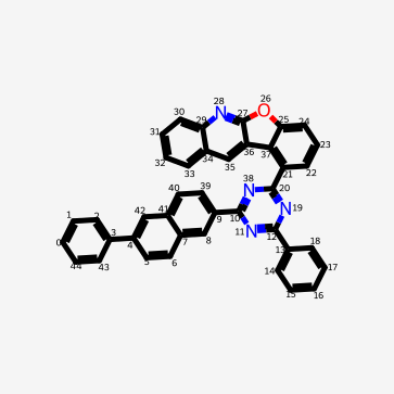 c1ccc(-c2ccc3cc(-c4nc(-c5ccccc5)nc(-c5cccc6oc7nc8ccccc8cc7c56)n4)ccc3c2)cc1